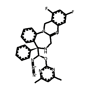 Cc1cc(C)nc(O[C@@H](N=[N+]=[N-])[C@@]2(c3ccccc3)NCC(=O)N(Cc3c(F)cc(F)cc3F)c3ccccc32)n1